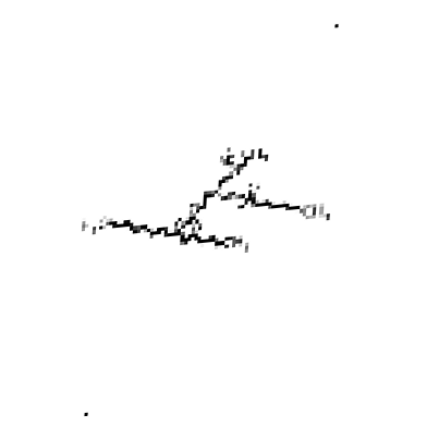 CCCCCCCCCC(CCCCCC)OC(=O)OCCN(CCOC(=O)CCCCCCC)CCN(CC)CC